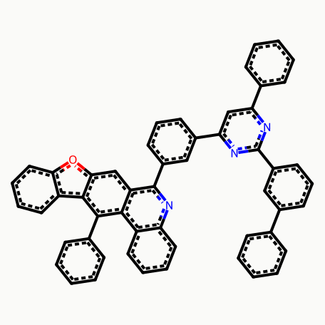 c1ccc(-c2cccc(-c3nc(-c4ccccc4)cc(-c4cccc(-c5nc6ccccc6c6c(-c7ccccc7)c7c(cc56)oc5ccccc57)c4)n3)c2)cc1